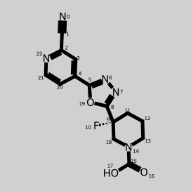 N#Cc1cc(-c2nnc([C@@]3(F)CCCN(C(=O)O)C3)o2)ccn1